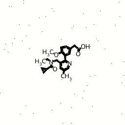 CCN(Cc1cc(C)cnc1-c1cc(CC(=O)O)ccc1OC)C(=O)C1CC1